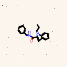 CCCn1c(C(=O)NCc2ccccc2)cc2ccccc21